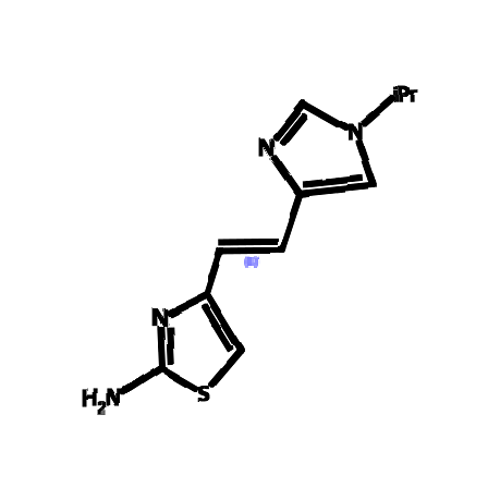 CC(C)n1cnc(/C=C/c2csc(N)n2)c1